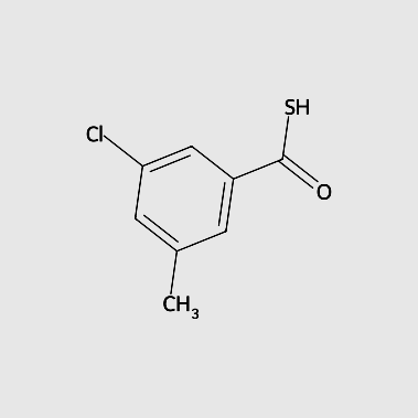 Cc1cc(Cl)cc(C(=O)S)c1